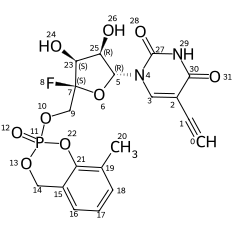 C#Cc1cn([C@@H]2O[C@](F)(COP3(=O)OCc4cccc(C)c4O3)[C@@H](O)[C@H]2O)c(=O)[nH]c1=O